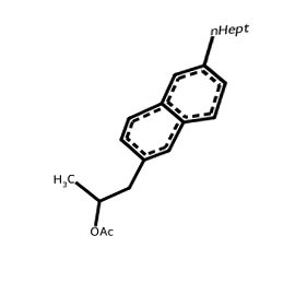 CCCCCCCc1ccc2cc(CC(C)OC(C)=O)ccc2c1